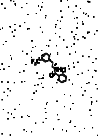 O=C(NCCc1cccc(C(F)(F)F)c1)c1ccccc1Cl